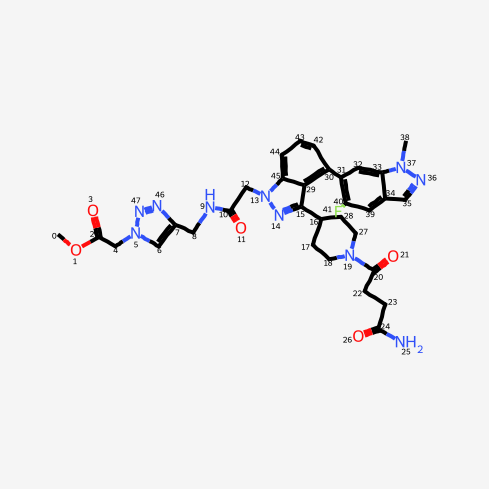 COC(=O)Cn1cc(CNC(=O)Cn2nc(C3CCN(C(=O)CCC(N)=O)CC3)c3c(-c4cc5c(cnn5C)cc4F)cccc32)nn1